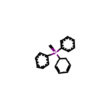 C=P(c1ccccc1)(c1ccccc1)C1C=CC=CC1